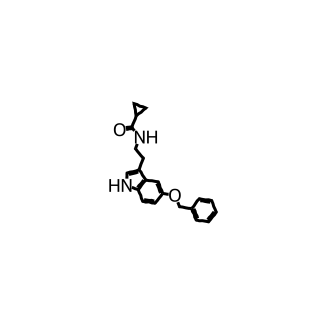 O=C(NCCc1c[nH]c2ccc(OCc3ccccc3)cc12)C1CC1